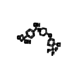 OC(c1ccc(C2(O)COC2)cc1)N1CCC(Oc2ccc(C(F)(F)F)c(Cl)c2)CC1